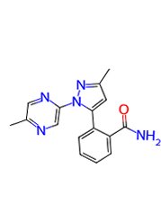 Cc1cnc(-n2nc(C)cc2-c2ccccc2C(N)=O)cn1